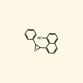 N#Cc1cccc2cccc(C3OC3c3ccccc3)c12